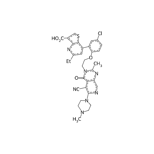 CCc1cc(-c2cc(Cl)ccc2OCCn2c(C)nc3cnc(N4CCN(C)CC4)c(C#N)c3c2=O)c2scc(C(=O)O)c2n1